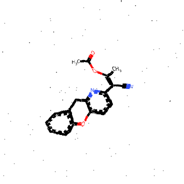 CC(=O)OC(C)=C(C#N)c1ccc2c(n1)Cc1ccccc1O2